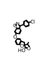 CC(C)C1(C(=O)O)Cc2cc(Oc3ccc4c(-c5ccc(Cl)cc5)noc4c3)ccc2O1